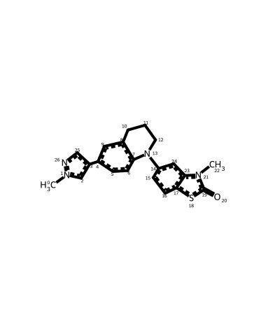 Cn1cc(-c2ccc3c(c2)CCCN3c2ccc3sc(=O)n(C)c3c2)cn1